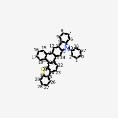 c1ccc(-n2c3ccccc3c3cc4c5ccccc5c5c(ccc6c7ccccc7sc65)c4cc32)cc1